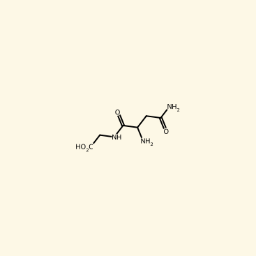 NC(=O)CC(N)C(=O)NCC(=O)O